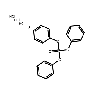 Cl.Cl.Cl.O=P(Oc1ccccc1)(Oc1ccccc1)Oc1ccccc1.[B]